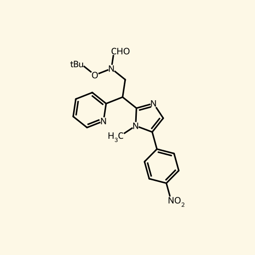 Cn1c(-c2ccc([N+](=O)[O-])cc2)cnc1C(CN(C=O)OC(C)(C)C)c1ccccn1